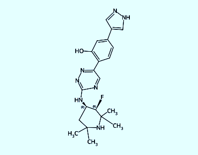 CC1(C)C[C@@H](Nc2ncc(-c3ccc(-c4cn[nH]c4)cc3O)nn2)[C@@H](F)C(C)(C)N1